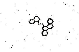 c1ccc2c(c1)CCCC2OCc1cc2ccccc2c2ccc3ccccc3c12